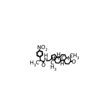 CC(C(=O)NCC1CC[C@H]2[C@@H]3CCC4N(C)C(=O)CC[C@]4(C)[C@@H]3CC[C@]12C)c1ccc([N+](=O)[O-])cc1